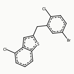 Clc1ccc(Br)cc1Cc1cc2c(Cl)cccc2s1